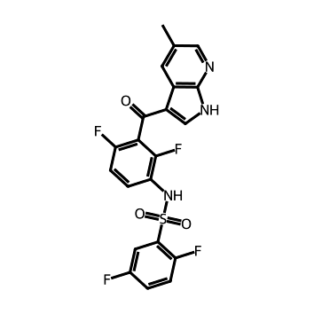 Cc1cnc2[nH]cc(C(=O)c3c(F)ccc(NS(=O)(=O)c4cc(F)ccc4F)c3F)c2c1